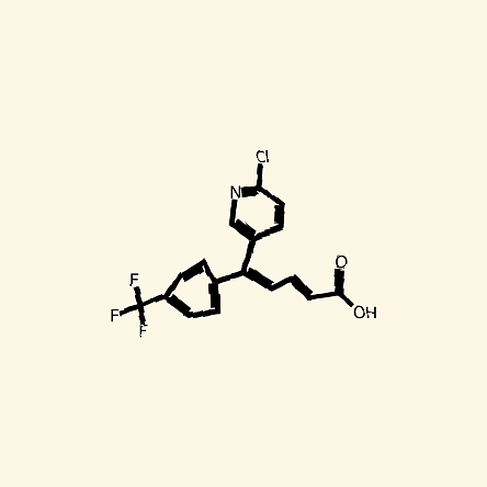 O=C(O)C=CC=C(c1ccc(C(F)(F)F)cc1)c1ccc(Cl)nc1